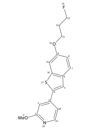 COc1cc(-c2cc3ccc(OCCCF)cc3s2)ccn1